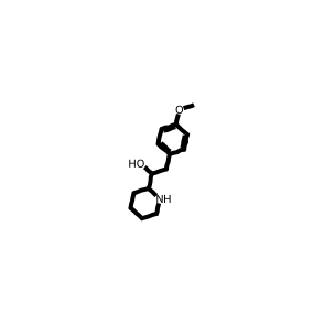 COc1ccc(CC(O)C2CCCCN2)cc1